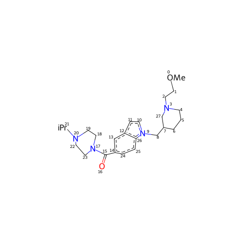 COCCN1CCCC(Cn2ccc3cc(C(=O)N4CCN(C(C)C)CC4)ccc32)C1